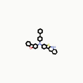 C1=CC2=Cc3c(sc4cc(N(c5ccc(-c6ccccc6)cc5)c5ccc6oc7ccccc7c6c5)ccc34)NC2C=C1